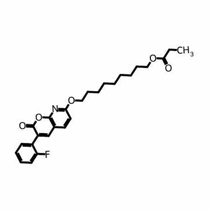 CCC(=O)OCCCCCCCCCOc1ccc2cc(-c3ccccc3F)c(=O)oc2n1